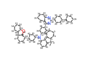 CC1(C)c2ccccc2-c2c(N(c3ccc(-c4nc(-c5ccc(-c6ccccc6)cc5)nc5ccccc45)cc3)c3ccc(-c4cccc5c4oc4ccccc45)cc3)cccc21